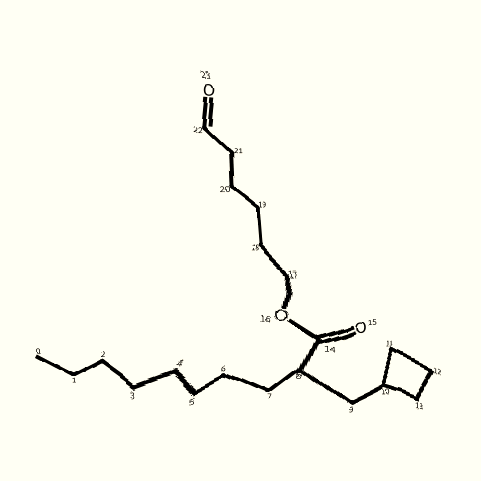 CCCCCCCCC(CC1CCC1)C(=O)OCCCCCC=O